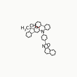 CC1(C)c2ccccc2-c2cc(N(c3ccc(-c4nc5ccc6ccccc6c5o4)cc3)c3ccccc3-c3ccccc3)ccc21